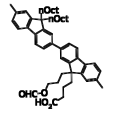 CCCCCCCCC1(CCCCCCCC)c2cc(C)ccc2-c2ccc(-c3ccc4c(c3)C(CCCOC=O)(CCCC(=O)O)c3cc(C)ccc3-4)cc21